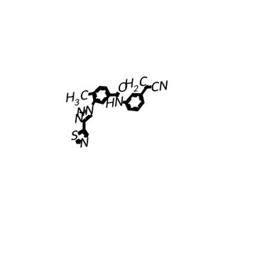 C=C(C#N)c1cccc(NC(=O)c2ccc(C)c(-n3cc(-c4cncs4)nn3)c2)c1